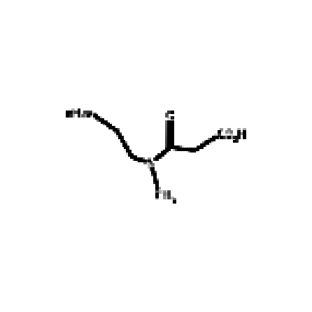 CCCCCCCCN(C)C(=O)CC(=O)O